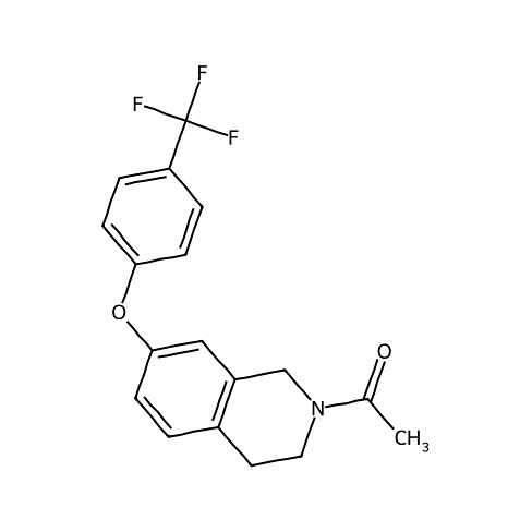 CC(=O)N1CCc2ccc(Oc3ccc(C(F)(F)F)cc3)cc2C1